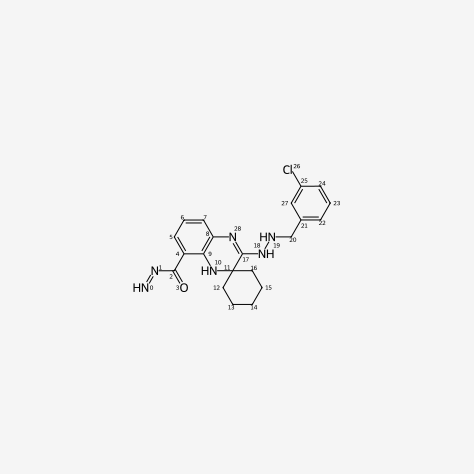 N=NC(=O)c1cccc2c1NC1(CCCCC1)C(NNCc1cccc(Cl)c1)=N2